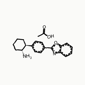 CC(=O)O.N[C@@H]1CCCC[C@H]1c1ccc(-c2nc3ccccc3o2)cc1